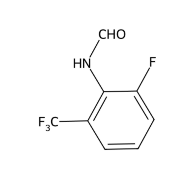 O=CNc1c(F)cccc1C(F)(F)F